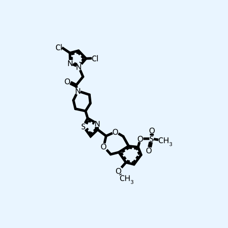 COc1ccc(OS(C)(=O)=O)c2c1COC(c1csc(C3CCN(C(=O)Cn4nc(Cl)cc4Cl)CC3)n1)OC2